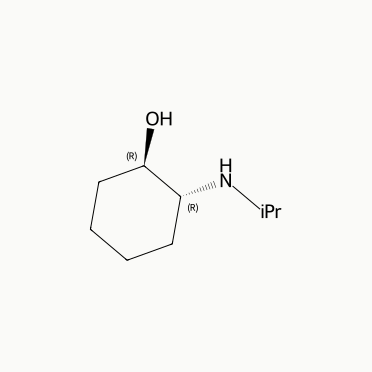 CC(C)N[C@@H]1CCCC[C@H]1O